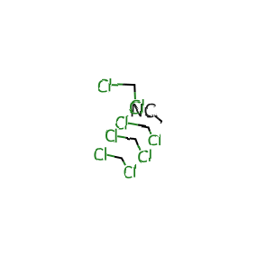 CC#N.ClCCl.ClCCl.ClCCl.ClCCl